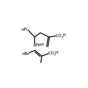 C=C(CC(CCC)CCCCC)C(=O)O.CCCCC=C(C)C(=O)O